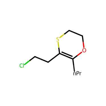 CCCC1=C(CCCl)SCCO1